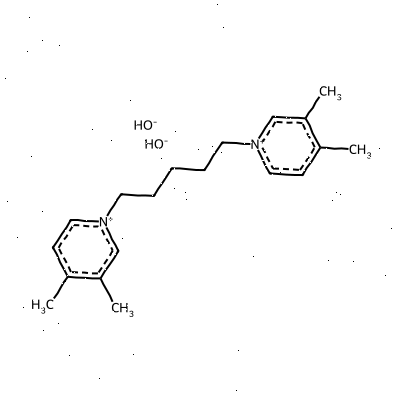 Cc1cc[n+](CCCCC[n+]2ccc(C)c(C)c2)cc1C.[OH-].[OH-]